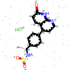 C[C@@H](N[SH](=O)=O)c1ccc(-c2ccnc3[nH]c(=O)ccc23)cc1.Cl